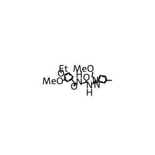 CCOc1ccc(C(=O)NCC(=O)Nc2nc3cc(C)ccc3n2CCOC)cc1OC